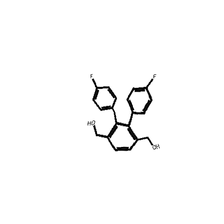 OCc1ccc(CO)c(-c2ccc(F)cc2)c1-c1ccc(F)cc1